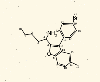 CCCCC(N)c1oc2ccc(C)cc2c1-c1ccc(Br)cc1